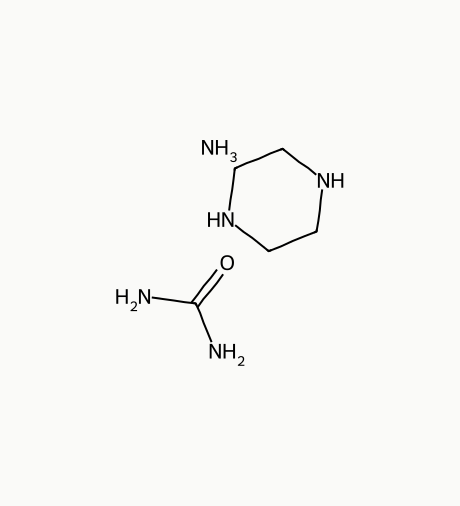 C1CNCCN1.N.NC(N)=O